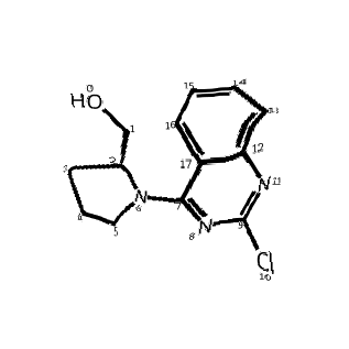 OC[C@@H]1CCCN1c1nc(Cl)nc2ccccc12